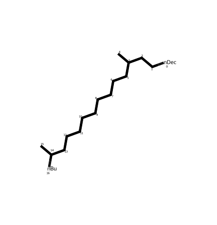 CCCCCCCCCCCCC(C)CCCCCCCCCC(C)CCCC